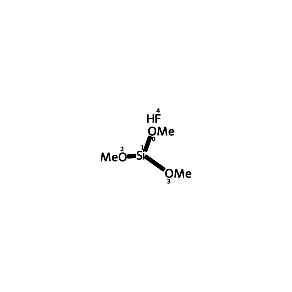 CO[Si](OC)OC.F